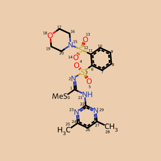 CSC(=NS(=O)(=O)c1ccccc1S(=O)(=O)N1CCOCC1)Nc1nc(C)cc(C)n1